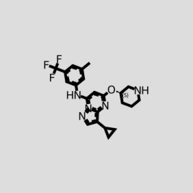 Cc1cc(Nc2cc(O[C@H]3CCCNC3)nc3c(C4CC4)cnn23)cc(C(F)(F)F)c1